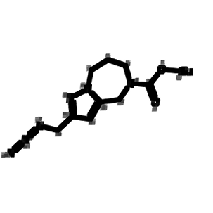 CC(C)(C)OC(=O)N1CCCn2nc(CN=[N+]=[N-])cc2C1